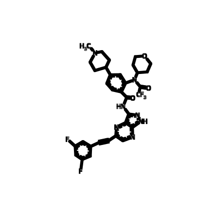 CN1CCC(c2ccc(C(=O)Nc3n[nH]c4ncc(C#Cc5cc(F)cc(F)c5)nc34)c(N(C(=O)C(F)(F)F)C3CCOCC3)c2)CC1